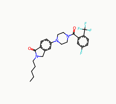 CCCCCN1Cc2cc(N3CCN(C(=O)c4cc(F)ccc4C(F)(F)F)CC3)ccc2C1=O